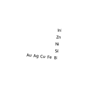 [Ag].[Au].[B].[Cu].[Fe].[In].[Ni].[Si].[Zn]